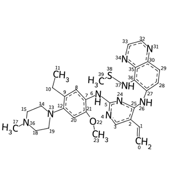 C=Cc1cnc(Nc2cc(CC)c(N3CCN(C)CC3)cc2OC)nc1Nc1ccc2nccnc2c1NSC